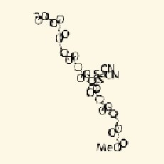 C=CC(=O)OCCOC(=O)CCC(=O)OCCc1ccc(OC(=O)C2CCC(C(=O)Oc3cc(C)c(OC(=O)C4CCC(C(=O)Oc5ccc(CCOC(=O)CCC(=O)OC)cc5)CC4)c4c3SC(=C(C#N)C#N)S4)CC2)cc1